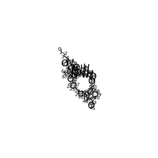 CCC/C=C/C(=O)N1CC[C@](O)(C(=O)N(C)[C@H](C(=O)N[C@H]2Cc3cccc(c3)-c3ccc4c(c3)c(c(-c3ccccc3CCOC)n4CC)CC(C)(C)COC(=O)[C@@H]3CCCN(N3)C2=O)C(C)C)C1